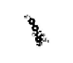 CCCC1CCC(C2CCC(CC(=O)c3ccc(OCC)c(C(F)(F)F)c3C(F)F)CC2)CC1